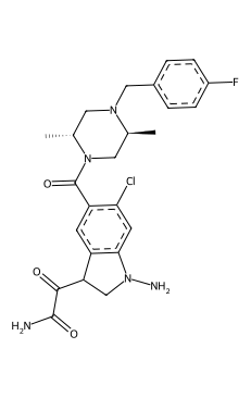 C[C@@H]1CN(Cc2ccc(F)cc2)[C@@H](C)CN1C(=O)c1cc2c(cc1Cl)N(N)CC2C(=O)C(N)=O